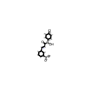 O=C(/C=C/c1cccc([N+](=O)[O-])c1)N(O)c1ccc(Cl)cc1